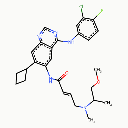 COCC(C)N(C)CC=CC(=O)Nc1cc2c(Nc3ccc(F)c(Cl)c3)ncnc2cc1C1CCC1